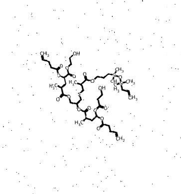 C=CCCC(=O)OC(CC(C)C(=O)OC(COC(=O)C(C)CC(OC(=O)CCC=C)C(=O)OCCO)CSCC(C)C(=O)OCCC[Si](C)(C)O[Si](C)(C)CCC)OC(=O)CCO